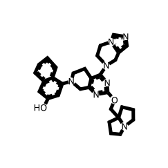 Oc1cc(N2CCc3c(nc(OCC45CCCN4CCC5)nc3N3CCn4cncc4C3)C2)c2ccccc2c1